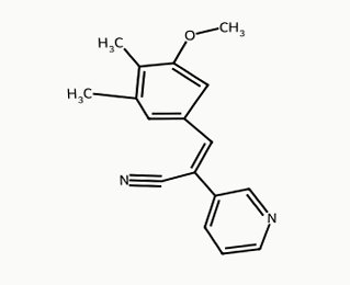 COc1cc(/C=C(\C#N)c2cccnc2)cc(C)c1C